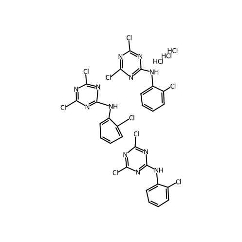 Cl.Cl.Cl.Clc1nc(Cl)nc(Nc2ccccc2Cl)n1.Clc1nc(Cl)nc(Nc2ccccc2Cl)n1.Clc1nc(Cl)nc(Nc2ccccc2Cl)n1